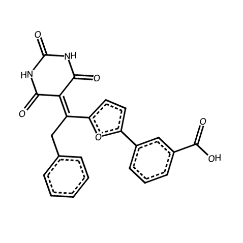 O=C1NC(=O)C(=C(Cc2ccccc2)c2ccc(-c3cccc(C(=O)O)c3)o2)C(=O)N1